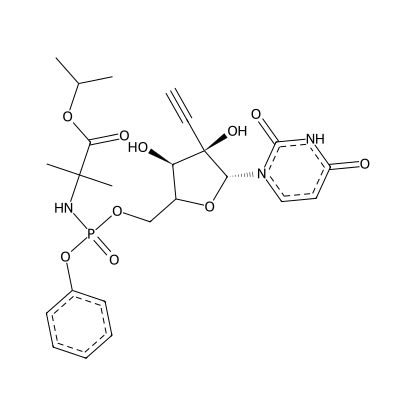 C#C[C@@]1(O)[C@H](O)C(COP(=O)(NC(C)(C)C(=O)OC(C)C)Oc2ccccc2)O[C@H]1n1ccc(=O)[nH]c1=O